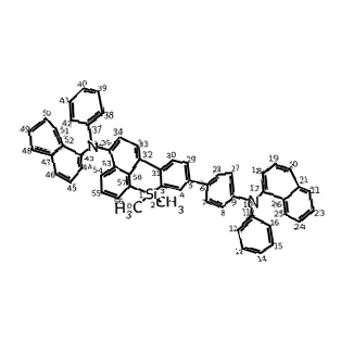 C[Si]1(C)c2cc(-c3ccc(N(c4ccccc4)c4cccc5ccccc45)cc3)ccc2-c2ccc(N(c3ccccc3)c3cccc4ccccc34)c3cccc1c23